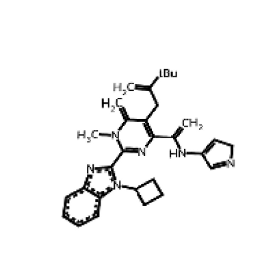 C=C(NC1=CCN=C1)C1=C(CC(=C)C(C)(C)C)C(=C)N(C)C(c2nc3ccccc3n2C2CCC2)=N1